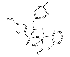 COc1ccc(C(=O)NC2(C(=O)O)C(=O)Oc3ccccc3C2CC(=O)Cc2ccc(C)cc2)cc1